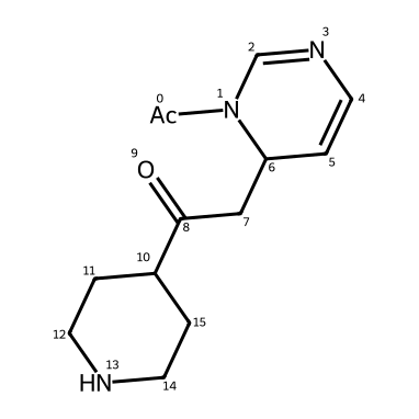 CC(=O)N1C=NC=CC1CC(=O)C1CCNCC1